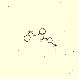 O=C(c1ccccc1Cn1cnc2ccccc21)N1CCC(O)C1